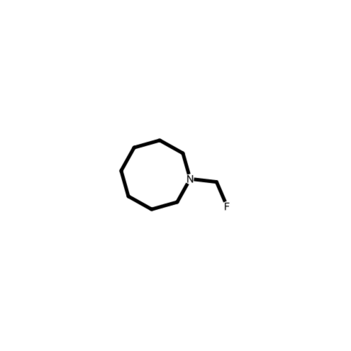 FCN1CCCCCCC1